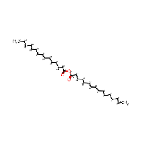 CCCCCCCCCCCCCCCC(=O)OC(=O)CCCCCCCCCCCCCC